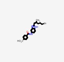 C/C(=C/c1nc2cc(NC(=O)c3ccc(C(=O)O)cc3)ccc2[nH]1)CCCC(C)C